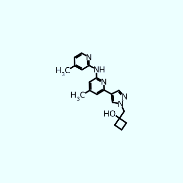 Cc1ccnc(Nc2cc(C)cc(-c3cnn(CC4(O)CCC4)c3)n2)c1